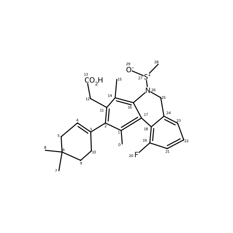 Cc1c(C2=CCC(C)(C)CC2)c(CC(=O)O)c(C)c2c1-c1c(F)cccc1CN2[S+](C)[O-]